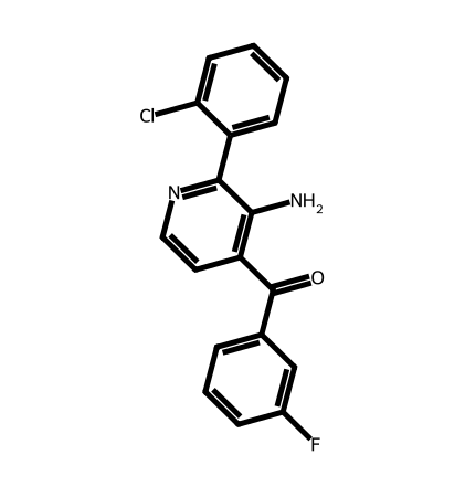 Nc1c(C(=O)c2cccc(F)c2)ccnc1-c1ccccc1Cl